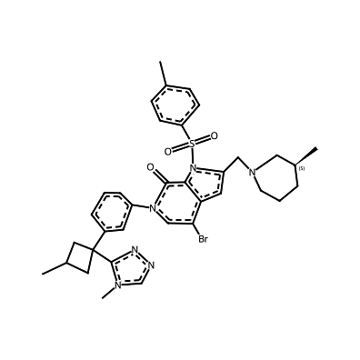 Cc1ccc(S(=O)(=O)n2c(CN3CCC[C@H](C)C3)cc3c(Br)cn(-c4cccc(C5(c6nncn6C)CC(C)C5)c4)c(=O)c32)cc1